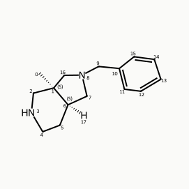 C[C@@]12CNCC[C@@H]1CN(Cc1ccccc1)C2